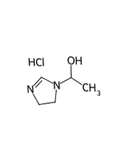 CC(O)N1C=NCC1.Cl